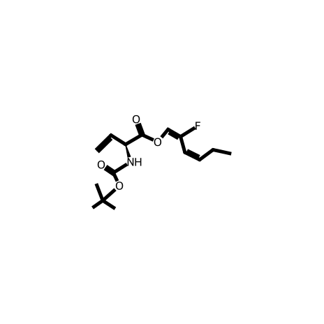 C=C[C@H](NC(=O)OC(C)(C)C)C(=O)O/C=C(F)\C=C/CC